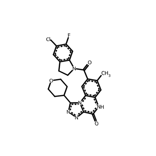 Cc1cc2[nH]c(=O)c3nnc(C4CCOCC4)n3c2cc1C(=O)N1CCc2cc(Cl)c(F)cc21